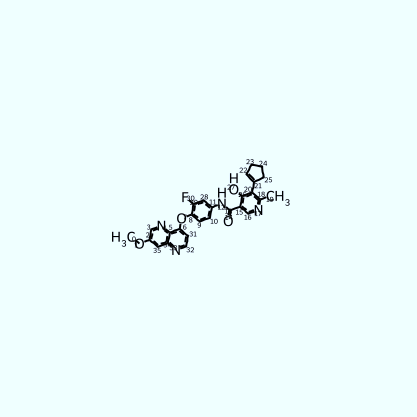 COc1cnc2c(Oc3ccc(NC(=O)c4cnc(C)c(C5=CCCC5)c4O)cc3F)ccnc2c1